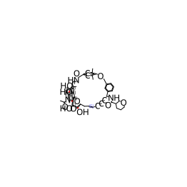 CC(=O)NC1[C@H]2OC(C(=O)O)(C/C=C/CCCC(NC(=O)C3CCCOC3)c3cccc(c3)COc3c(C)cc(cc3C)C(=O)NC[C@@H](O)[C@H]2O)C[C@@H]1O